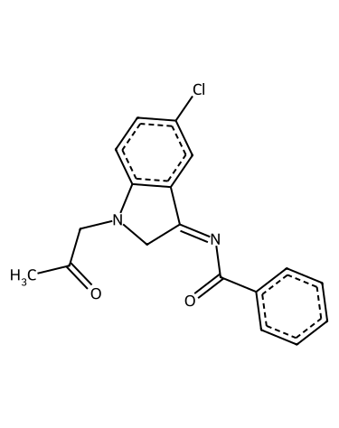 CC(=O)CN1CC(=NC(=O)c2ccccc2)c2cc(Cl)ccc21